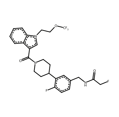 O=C(CF)NCc1ccc(F)c(C2CCN(C(=O)c3cn(CCOC(F)(F)F)c4ccccc34)CC2)c1